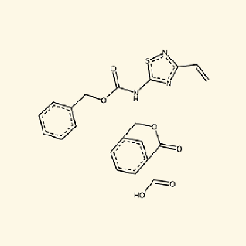 C=Cc1nsc(NC(=O)OCc2ccccc2)n1.O=C1OCc2cccc1c2.O=CO